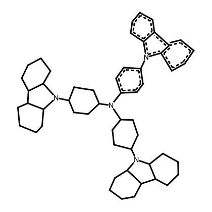 c1ccc2c(c1)c1ccccc1n2-c1ccc(N(C2CCC(N3C4CCCCC4C4CCCCC43)CC2)C2CCC(N3C4CCCCC4C4CCCCC43)CC2)cc1